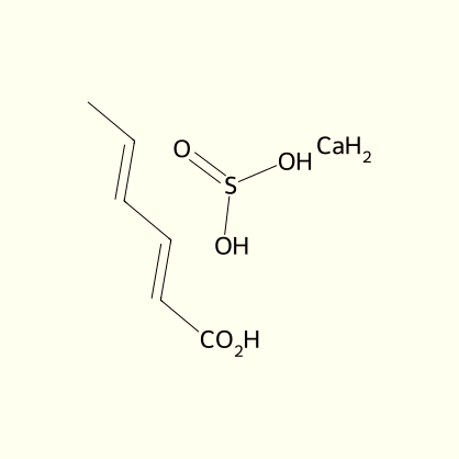 C/C=C/C=C/C(=O)O.O=S(O)O.[CaH2]